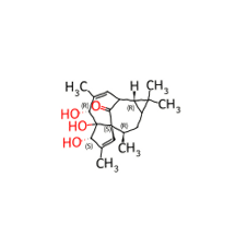 CC1=CC2C(=O)[C@]3(C=C(C)[C@H](O)C3(O)[C@@H]1O)[C@H](C)CC1[C@H]2C1(C)C